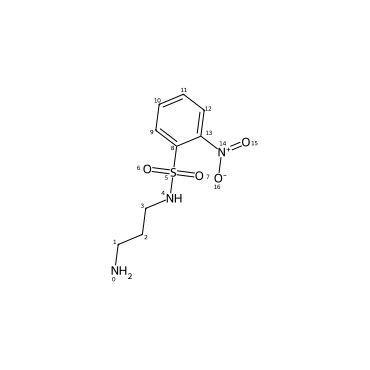 NCCCNS(=O)(=O)c1ccccc1[N+](=O)[O-]